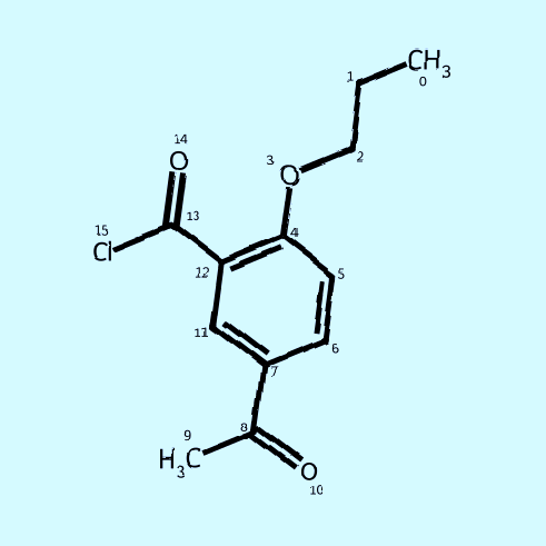 CCCOc1ccc(C(C)=O)cc1C(=O)Cl